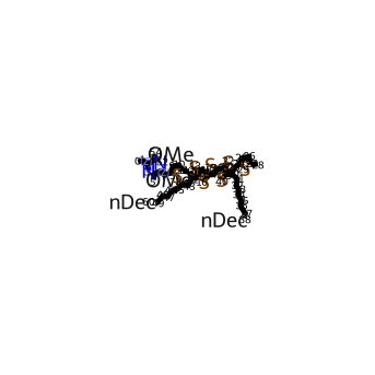 C/C=c1\nc(OC)/c(=C/c2ccc(-c3sc4c(sc5c4sc4c6sc(-c7ccc(C)s7)c(CCCCCCCCCCCCCCCCC)c6sc45)c3CCCCCCCCCCCCCCCCC)s2)nc1OC